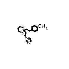 Cc1ccc(CCC2(CCn3ccnc3)SCCCS2)cc1